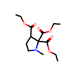 CCOC(=O)C1CCN(C)C1(C(=O)OCC)C(=O)OCC